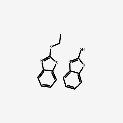 CCSc1nc2ccccc2s1.Sc1nc2ccccc2s1